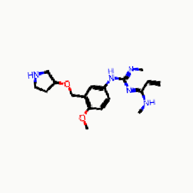 C=C/C(=N\C(=N/C)Nc1ccc(OC)c(COC2CCNC2)c1)NC